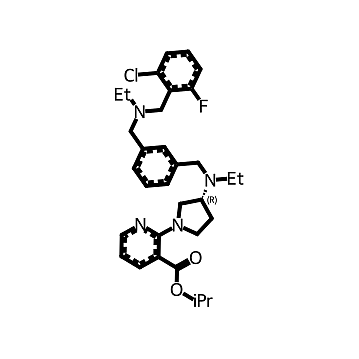 CCN(Cc1cccc(CN(CC)[C@@H]2CCN(c3ncccc3C(=O)OC(C)C)C2)c1)Cc1c(F)cccc1Cl